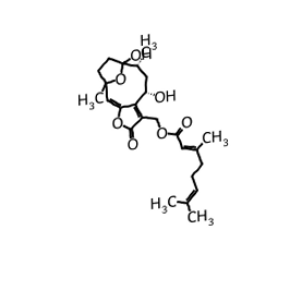 CC(C)=CCC/C(C)=C/C(=O)OCC1=C2/C(=C\C3(C)CCC(O)(O3)[C@H](C)C[C@@H]2O)OC1=O